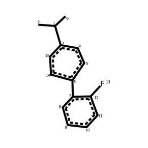 CC(C)c1ccc(-c2ccccc2F)cc1